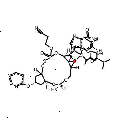 CC(C)C(=O)Nc1nc2c(ncn2[C@@H]2O[C@@H]3CO[P@](=O)(S)O[C@H]4C[C@H](Oc5ccncn5)C[C@@H]4COP(=O)(OCCC#N)O[C@@H]2[C@@H]3O[Si](O[Si](O)(C(C)C)C(C)C)(C(C)C)C(C)C)c(=O)[nH]1